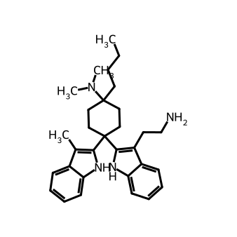 CCCCC1(N(C)C)CCC(c2[nH]c3ccccc3c2C)(c2[nH]c3ccccc3c2CCN)CC1